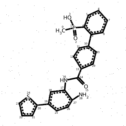 CP(=O)(O)c1ccccc1-c1ccc(C(=O)Nc2cc(-c3cccs3)ccc2N)cc1